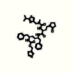 CC(C)c1nc(CN(C)C(=O)N[C@@H](CCN2CCCC2=O)C(=O)N[C@H](CC[C@H](Cc2ccccc2)NC(=O)OCc2cncs2)Cc2ccccc2)cs1